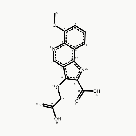 COc1cccc2c1ncc1c(OCC(=O)O)c(C(=O)O)sc12